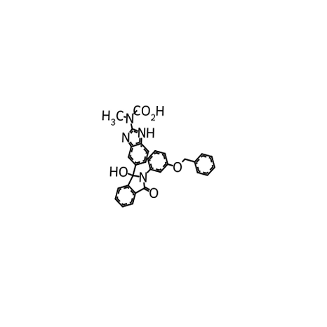 CN(C(=O)O)c1nc2cc(C3(O)c4ccccc4C(=O)N3c3cccc(OCc4ccccc4)c3)ccc2[nH]1